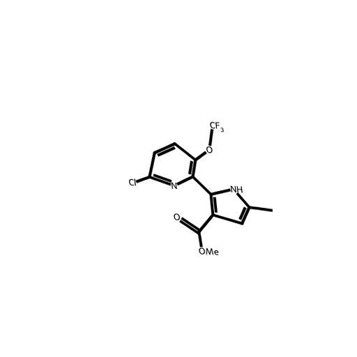 COC(=O)c1cc(C)[nH]c1-c1nc(Cl)ccc1OC(F)(F)F